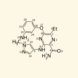 CCc1nc(C(N)=O)c(Nc2cnn(C)c2)nc1Oc1cccc(N)c1